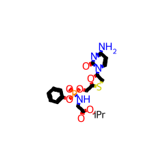 CC(C)OC(=O)CNP(=O)(OCC1OC(n2ccc(N)nc2=O)CS1)Oc1ccccc1